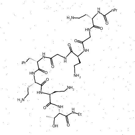 CCCC(=O)N[C@@H](CCN)C(=O)NCC(=O)N[C@@H](CCN)C(=O)NCC(=O)N[C@@H](CC(C)C)C(=O)N[C@@H](CCN)C(=O)N[C@@H](CCN)C(=O)N[C@H](C(=O)NCC)[C@@H](C)O